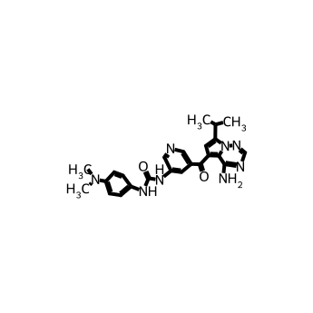 CC(C)c1cc(C(=O)c2cncc(NC(=O)Nc3ccc(N(C)C)cc3)c2)c2c(N)ncnn12